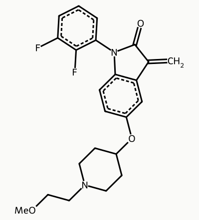 C=C1C(=O)N(c2cccc(F)c2F)c2ccc(OC3CCN(CCOC)CC3)cc21